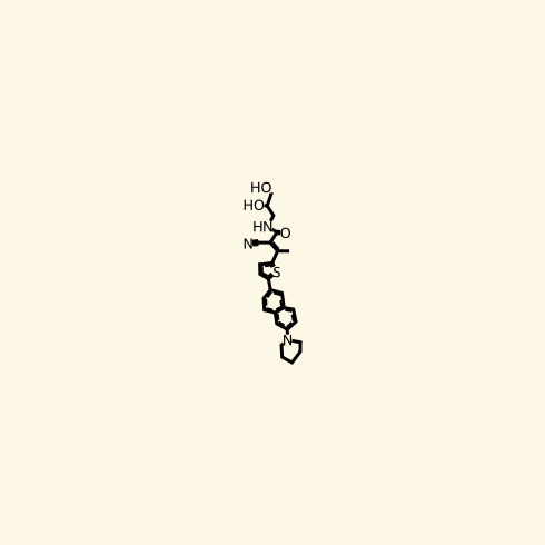 C/C(=C(/C#N)C(=O)NCC(O)CO)c1ccc(-c2ccc3cc(N4CCCCC4)ccc3c2)s1